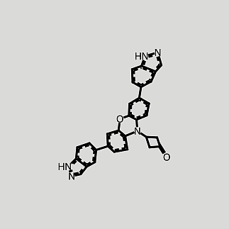 O=C1CC(N2c3ccc(-c4ccc5[nH]ncc5c4)cc3Oc3cc(-c4ccc5[nH]ncc5c4)ccc32)C1